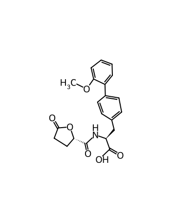 COc1ccccc1-c1ccc(C[C@H](NC(=O)[C@@H]2CCC(=O)O2)C(=O)O)cc1